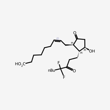 CCCCC(F)(F)C(=O)CC[C@H]1[C@H](O)CC(=O)[C@@H]1C/C=C\CCCCCC(=O)O